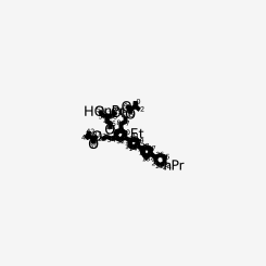 C=C(C)C(=O)OCCCc1cc(-c2ccc(-c3ccc(C4CCC(CCC)CC4)cc3)cc2CC)cc(CCCOC(=O)C(=C)C)c1OCCC(CO)(CO)CCC